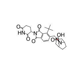 CC(C)(C)c1c(CN2CC3CCC(C2)N3C(=O)O)ccc2c1C(=O)N(C1CCC(=O)NC1=O)C2=O